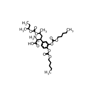 CCCCCOC(=O)Oc1ccc(C(CC(C)OC(=O)OC(C)CC)[C@H](N)C(=O)O)cc1OC(=O)OCCCCC